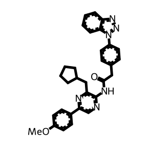 COc1ccc(-c2cnc(NC(=O)Cc3ccc(-n4nnc5ccccc54)cc3)c(CC3CCCC3)n2)cc1